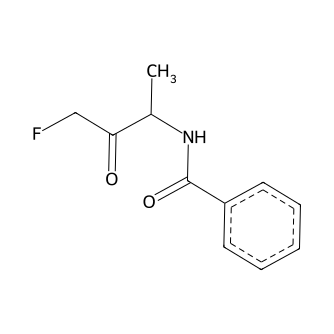 CC(NC(=O)c1ccccc1)C(=O)CF